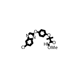 CONC(=O)C(C)(C)Oc1ccc(Oc2cnc3cc(Cl)ccc3n2)cc1